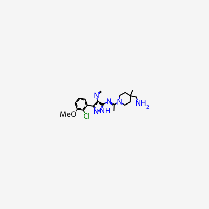 C=Nc1c(-c2cccc(OC)c2Cl)n[nH]c1/N=C(\C)N1CCC(C)(CN)CC1